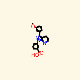 COc1cccc(-c2nn(-c3cccc(C(=O)O)c3)c3ncccc23)c1